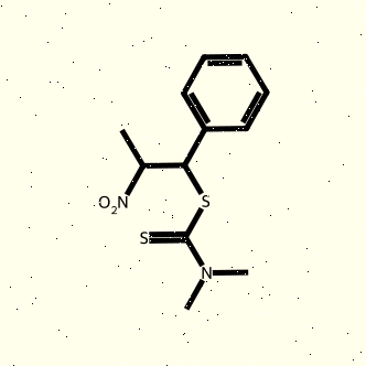 CC(C(SC(=S)N(C)C)c1ccccc1)[N+](=O)[O-]